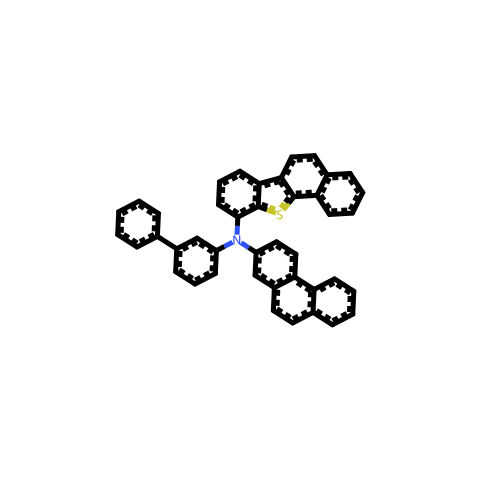 c1ccc(-c2cccc(N(c3ccc4c(ccc5ccccc54)c3)c3cccc4c3sc3c5ccccc5ccc43)c2)cc1